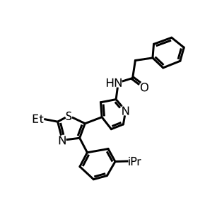 CCc1nc(-c2cccc(C(C)C)c2)c(-c2ccnc(NC(=O)Cc3ccccc3)c2)s1